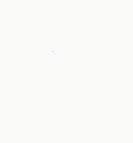 CCC(CC)CCCN(C)C(C)C